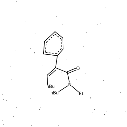 CCCCC=C(C(=O)N(CC)CCCC)c1ccccc1